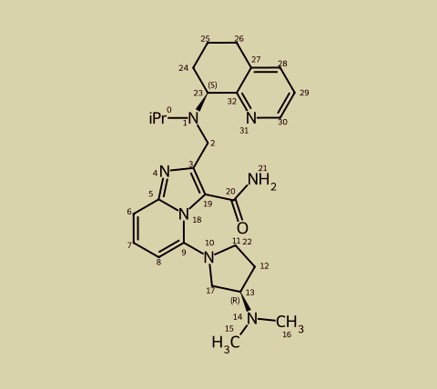 CC(C)N(Cc1nc2cccc(N3CC[C@@H](N(C)C)C3)n2c1C(N)=O)[C@H]1CCCc2cccnc21